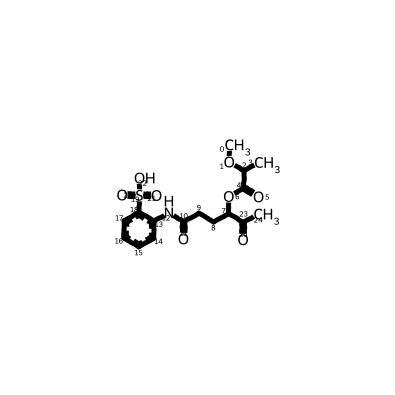 COC(C)C(=O)OC(CCC(=O)Nc1ccccc1S(=O)(=O)O)C(C)=O